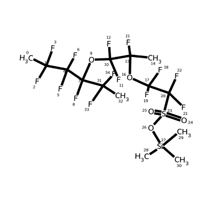 CC(F)(F)C(F)(F)C(F)(OC(F)(F)C(C)(F)OC(F)(F)C(F)(F)S(=O)(=O)O[Si](C)(C)C)C(C)(F)F